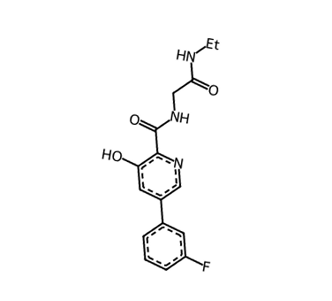 CCNC(=O)CNC(=O)c1ncc(-c2cccc(F)c2)cc1O